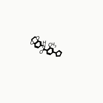 Cc1cc(C2CCCC2)ccc1C(=O)Nc1ccc2c(c1)OCCO2